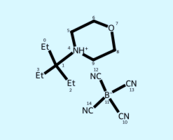 CCC(CC)(CC)[NH+]1CCOCC1.N#C[B-](C#N)(C#N)C#N